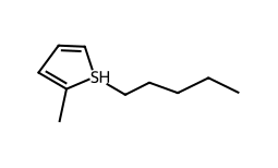 CCCCC[SH]1C=CC=C1C